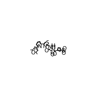 COC[C@H](NC(=O)c1ccn(S(C)(=O)=O)c1)C(=O)Nc1nc(-c2cccc(N3CC(C)OC(C)C3)n2)cs1